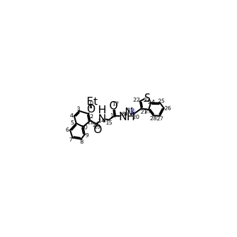 CCOc1ccc2ccccc2c1C(=O)NCC(=O)N/N=C/c1csc2ccccc12